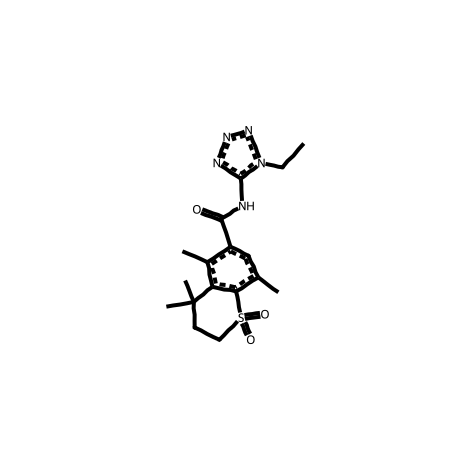 CCn1nnnc1NC(=O)c1cc(C)c2c(c1C)C(C)(C)CCS2(=O)=O